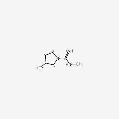 CNC(=N)N1CCC(O)C1